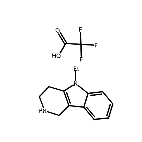 CCn1c2c(c3ccccc31)CNCC2.O=C(O)C(F)(F)F